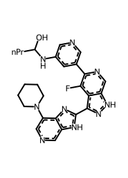 CCCC(O)Nc1cncc(-c2ncc3[nH]nc(-c4nc5c(N6CCCCC6)cncc5[nH]4)c3c2F)c1